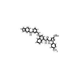 Cc1ccc(-n2nc(C(C)(C)C)cc2NC(=O)Nc2ccc(OCc3ccnc(Nc4cnc5c(n4)CCC5)c3)c3ccccc23)cc1